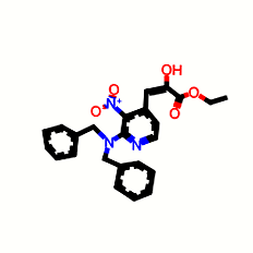 CCOC(=O)/C(O)=C\c1ccnc(N(Cc2ccccc2)Cc2ccccc2)c1[N+](=O)[O-]